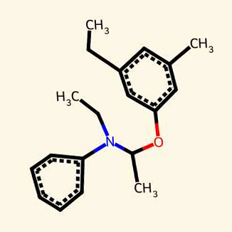 CCc1cc(C)cc(OC(C)N(CC)c2ccccc2)c1